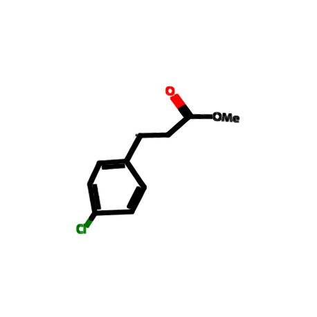 COC(=O)C[CH]c1ccc(Cl)cc1